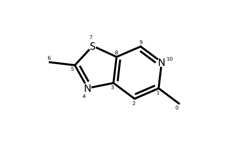 Cc1cc2nc(C)sc2cn1